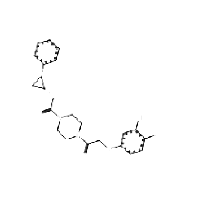 Cc1ccc(SCC(=O)N2CCN(C(=O)C[C@@H]3C[C@H]3c3ccccc3)CC2)cc1C